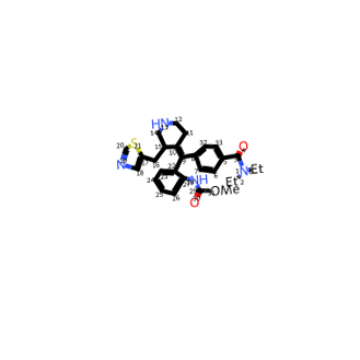 CCN(CC)C(=O)c1ccc(C(=C2CCNCC2Cc2cncs2)c2ccccc2NC(=O)OC)cc1